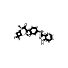 CN(C(=O)c1nsc2cc(Nc3n[nH]c4cccnc34)ccc12)C1CC(F)(F)C1